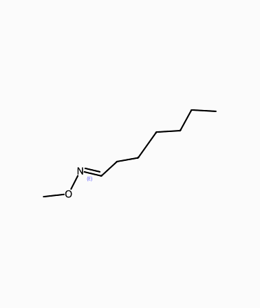 CCCCCC/C=N/OC